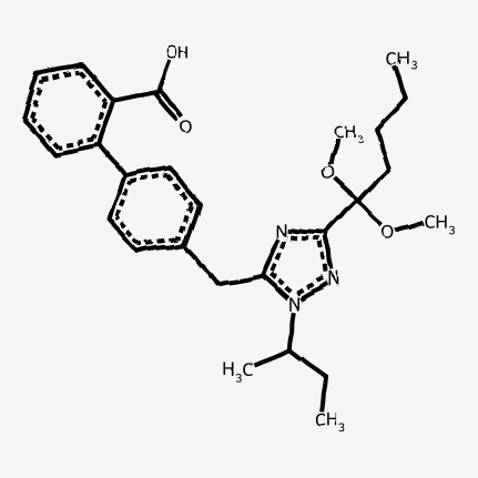 CCCCC(OC)(OC)c1nc(Cc2ccc(-c3ccccc3C(=O)O)cc2)n(C(C)CC)n1